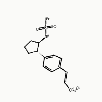 CCOC(=O)C=Cc1ccc([C@@H]2CCC[C@H]2NS(=O)(=O)C(C)C)cc1